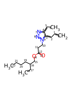 C=C/C=c1\c(=C/C)nnn1CCC(=O)OCC(CC)CCCC